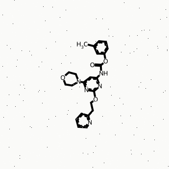 Cc1cccc(OC(=O)Nc2cc(N3CCOCC3)nc(OCCc3ccccn3)n2)c1